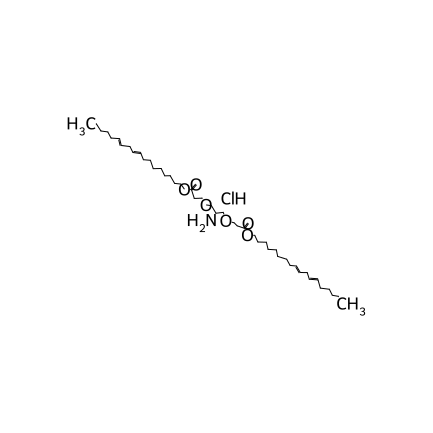 CCCCCC=CCC=CCCCCCCCCOC(=O)CCOCC(N)COCCC(=O)OCCCCCCCCC=CCC=CCCCCC.Cl